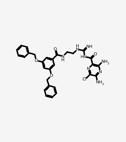 N=C(NCCNC(=O)c1cc(OCc2ccccc2)cc(OCc2ccccc2)c1)NC(=O)c1nc(Cl)c(N)nc1N